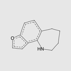 c1cc2c3c(ccc2o1)CCCCN3